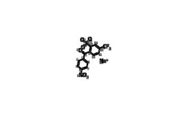 O=C(c1ccc([N+](=O)[O-])cc1)c1ccc(C(F)(F)F)cc1S(=O)(=O)[O-].[Na+]